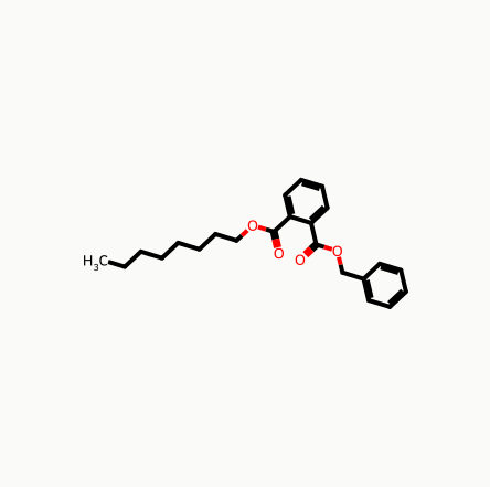 CCCCCCCCOC(=O)c1ccccc1C(=O)OCc1ccccc1